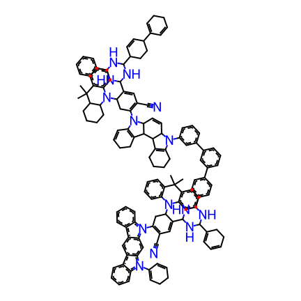 CC1(C)c2ccccc2N(C2CC(n3c4ccccc4c4cc5c6ccccc6n(C6=CCCC=C6)c5cc43)=C(C#N)C=C2C2NC(C3=CC=CCC3)NC(c3ccc(-c4cccc(-c5cccc(N6C7=C(CCCC7)C7C8C9=C(C=CCC9)N(C9=C(C#N)C=C(C%10NC(c%11ccccc%11)NC(C%11C=CC(C%12=CCCC=C%12)CC%11)N%10)C(N%10c%11ccccc%11C(C)(C)C%11CCCCC%11%10)C9)C8C=CC76)c5)c4)cc3)N2)c2ccccc21